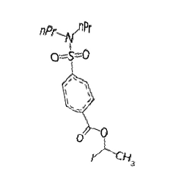 CCCN(CCC)S(=O)(=O)c1ccc(C(=O)OC(C)I)cc1